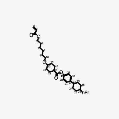 C=CC(=O)OCCCCCCOC1CCC(C(=O)Oc2ccc(C3CCC(CCC)CC3)cc2)CC1